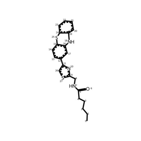 CCCCCC(=O)NCc1nc(-c2ccc3c(c2)Nc2ccccc2S3)cs1